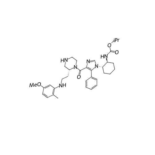 COc1ccc(C)c(NCC[C@@H]2CNCCN2C(=O)c2ncn([C@H]3CCCC[C@@H]3NC(=O)OC(C)C)c2-c2ccccc2)c1